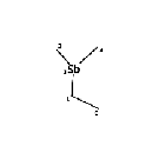 C[CH2][Sb]([CH3])[CH3]